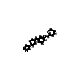 C(=C1CCN(c2cnoc2)CC1)c1cccc(OCC2CCCCO2)c1